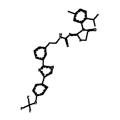 Cc1ccc(C(C)C)c(N2C(=O)CS/C2=N\C(=S)NCCc2cccc(-c3ncn(-c4ccc(OC(F)(F)F)cc4)n3)c2)c1